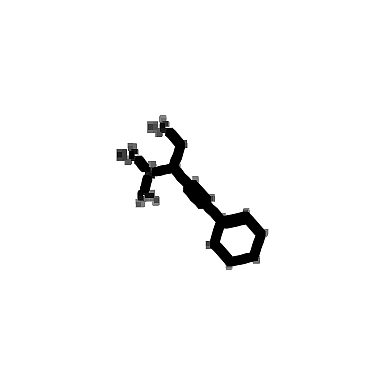 CCC(C#CC1=CC[CH]CC1)N(C)C